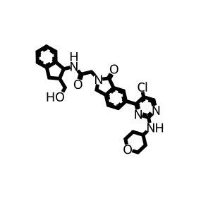 O=C(CN1Cc2ccc(-c3nc(NC4CCOCC4)ncc3Cl)cc2C1=O)NC1c2ccccc2CC1CO